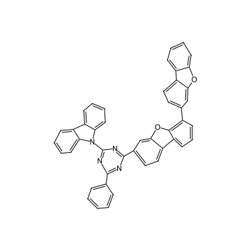 c1ccc(-c2nc(-c3ccc4c(c3)oc3c(-c5ccc6c(c5)oc5ccccc56)cccc34)nc(-n3c4ccccc4c4ccccc43)n2)cc1